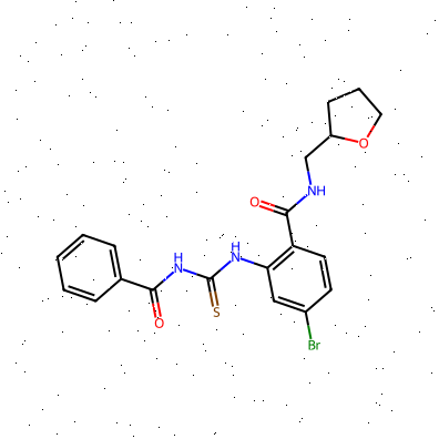 O=C(NC(=S)Nc1cc(Br)ccc1C(=O)NCC1CCCO1)c1ccccc1